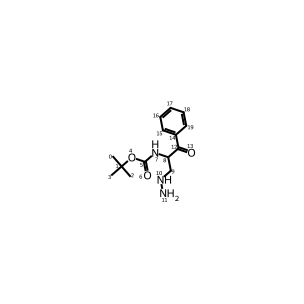 CC(C)(C)OC(=O)NC(CNN)C(=O)c1ccccc1